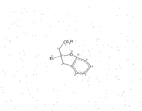 CCC1(CC(=O)O)Cc2ccccc2O1